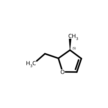 CCC1OC=C[C@@H]1C